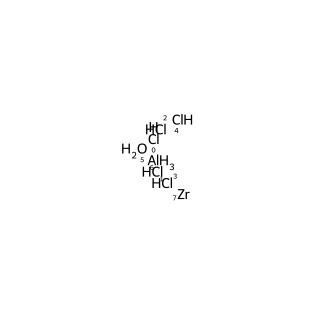 Cl.Cl.Cl.Cl.Cl.O.[AlH3].[Zr]